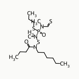 CCCCCCN(SN(C)P(=O)(SCCC)N(C)C=S)C(=O)CCC